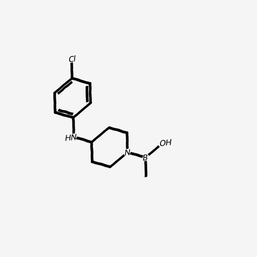 CB(O)N1CCC(Nc2ccc(Cl)cc2)CC1